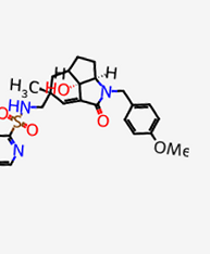 COc1ccc(CN2C(=O)C3=C[C@](C)(CNS(=O)(=O)c4ccc(C(F)(F)F)cn4)C[C@H]4CC[C@@H]2[C@@]34O)cc1